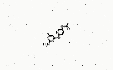 CC(=O)Nc1ccc(Nc2cc(C)nc(N)n2)nc1